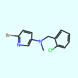 CN(Cc1ccccc1Cl)c1ccc(Br)nc1